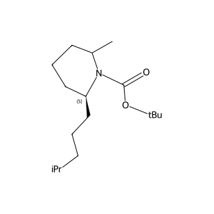 CC(C)CCC[C@H]1CCCC(C)N1C(=O)OC(C)(C)C